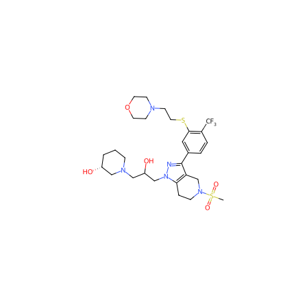 CS(=O)(=O)N1CCc2c(c(-c3ccc(C(F)(F)F)c(SCCN4CCOCC4)c3)nn2CC(O)CN2CCC[C@@H](O)C2)C1